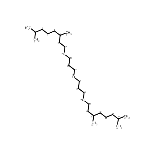 CC(C)CCCC(C)CCOCCCOCCCOCCC(C)CCCC(C)C